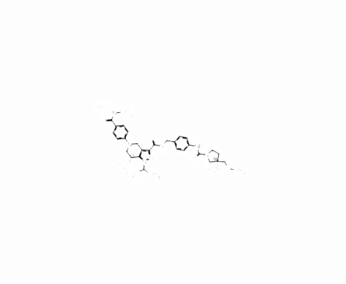 COC[C@@]1(N)CCN(C(=O)Nc2ccc(CNC(=O)c3nn(C(C)C)c4c3CN(c3ccc(C(=O)N(C)C)cc3)C[C@@H]4C)cc2)C1